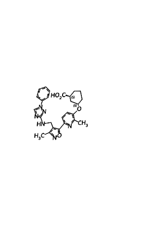 Cc1nc(-c2onc(C)c2CNc2ncn(-c3ccccc3)n2)ccc1O[C@H]1CCC[C@H](C(=O)O)C1